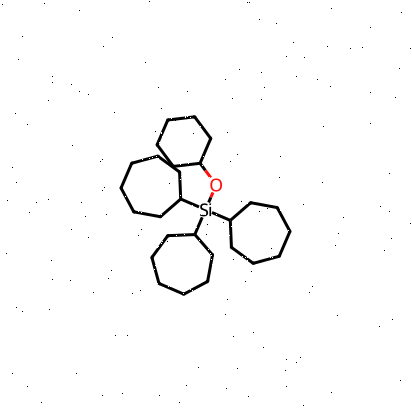 C1CCC(O[Si](C2CCCCCC2)(C2CCCCCC2)C2CCCCCC2)CC1